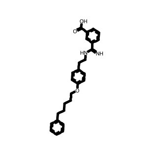 N=C(NCCc1ccc(OCCCCCc2ccccc2)cc1)c1cccc(C(=O)O)c1